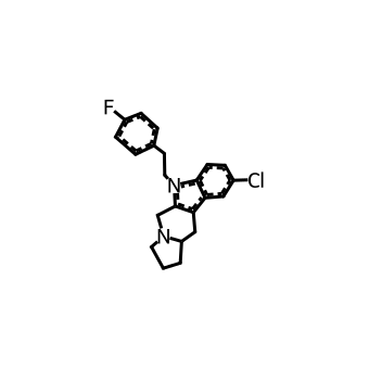 Fc1ccc(CCn2c3c(c4cc(Cl)ccc42)CC2CCCN2C3)cc1